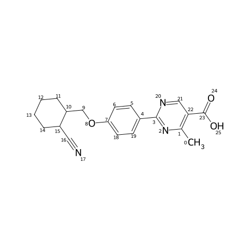 Cc1nc(-c2ccc(OCC3CCCCC3C#N)cc2)ncc1C(=O)O